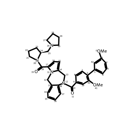 COc1cccc(-c2ccc(C(=O)N3Cc4ccc(C(=O)N5CCC[C@H]5CN5CCCC5)n4Cc4ccccc43)cc2OC)c1